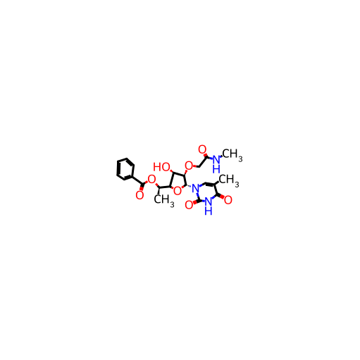 CNC(=O)CO[C@@H]1[C@H](O)C([C@@H](C)OC(=O)c2ccccc2)O[C@H]1n1cc(C)c(=O)[nH]c1=O